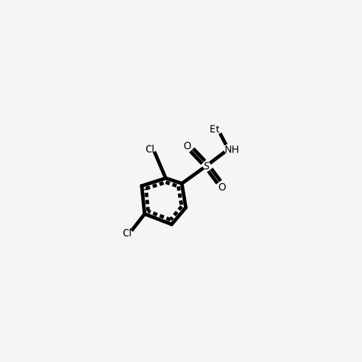 CCNS(=O)(=O)c1ccc(Cl)cc1Cl